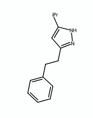 CC(C)c1cc(CCc2ccccc2)n[nH]1